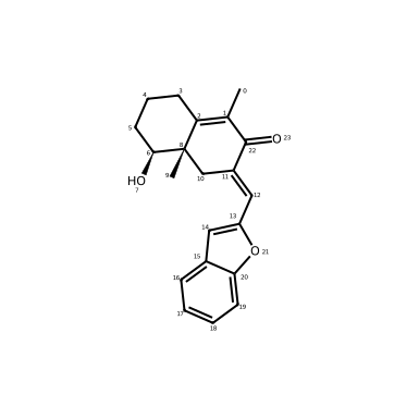 CC1=C2CCC[C@H](O)[C@@]2(C)C/C(=C\c2cc3ccccc3o2)C1=O